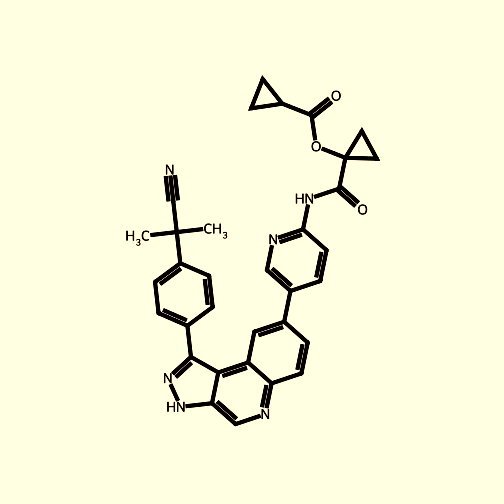 CC(C)(C#N)c1ccc(-c2n[nH]c3cnc4ccc(-c5ccc(NC(=O)C6(OC(=O)C7CC7)CC6)nc5)cc4c23)cc1